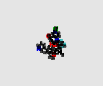 CC(Cc1cc(-c2cccnc2)cc2c1OCC2)CC(O)(Cn1ccc(=O)c2c1C=CN(Cl)C2)C(F)(F)F